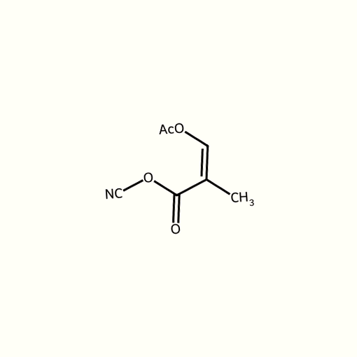 CC(=O)OC=C(C)C(=O)OC#N